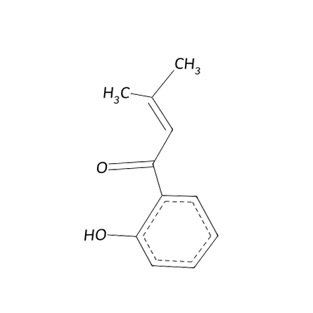 CC(C)=CC(=O)c1ccccc1O